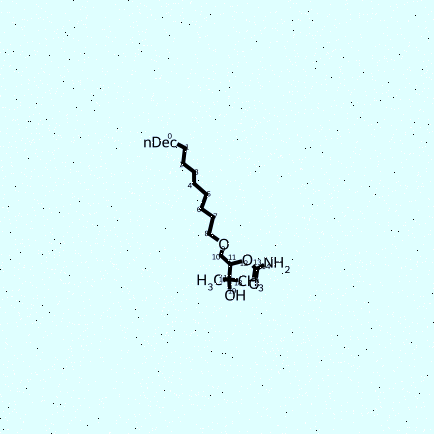 CCCCCCCCCCCCCCCCCCOCC(OC(N)=O)C(C)(C)O